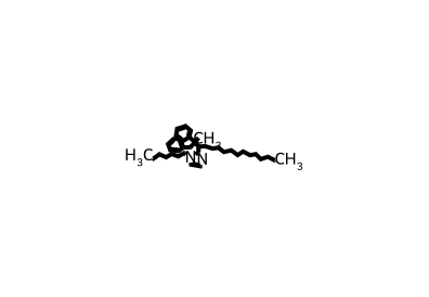 CCCCCCCCCCCCCC(c1nccn1CCCCCCC)C(C)(Cc1ccccc1)c1ccccc1